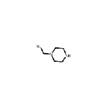 N#CCN1CCNCC1